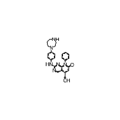 C#Cc1cc(=O)n(-c2ccccc2)c2nc(Nc3ccc(N4CCCNCC4)cc3)ncc12